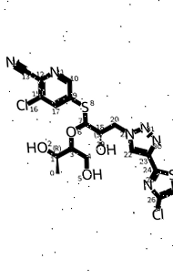 C[C@@H](O)C(CO)OC(Sc1cnc(C#N)c(Cl)c1)[C@@H](O)Cn1cc(-c2nc(Cl)cs2)nn1